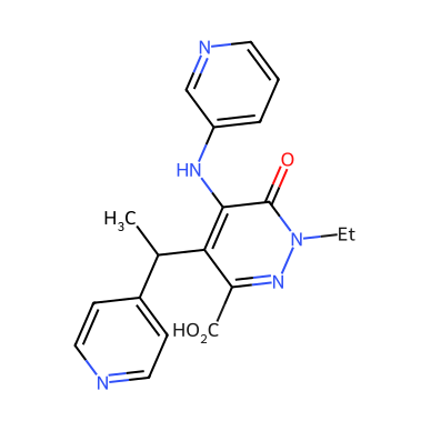 CCn1nc(C(=O)O)c(C(C)c2ccncc2)c(Nc2cccnc2)c1=O